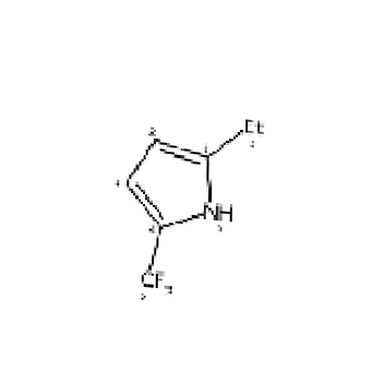 CCc1ccc(C(F)(F)F)[nH]1